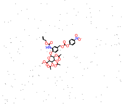 C=CCOC(=O)Nc1cc(COC(=O)Oc2ccc([N+](=O)[O-])cc2)ccc1OC1OC(C(=O)OC)C(OC(C)=O)C(OC(C)=O)C1OC(C)=O